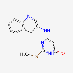 CSc1nc(Nc2cnc3ccccc3c2)cc(=O)[nH]1